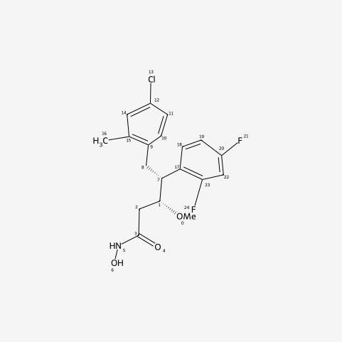 CO[C@H](CC(=O)NO)[C@H](Cc1ccc(Cl)cc1C)c1ccc(F)cc1F